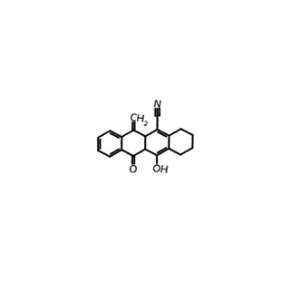 C=C1c2ccccc2C(=O)C2C(O)=C3CCCCC3=C(C#N)C12